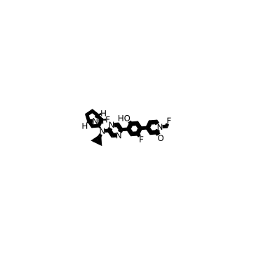 O=c1cc(-c2cc(O)c(-c3cnc(N(C4CC4)[C@H]4C[C@@H]5CC[C@@H](N5)[C@H]4F)cn3)cc2F)ccn1CF